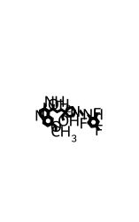 COc1ccc2ncc(CN)c(C(O)CCC3(CO)CCN(CCNc4c(F)cc(F)cc4F)CC3)c2c1